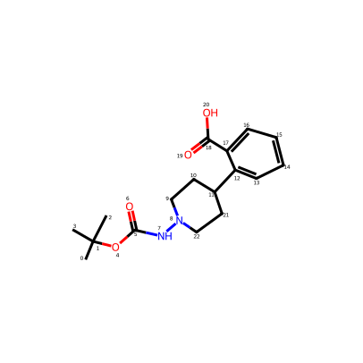 CC(C)(C)OC(=O)NN1CCC(c2ccccc2C(=O)O)CC1